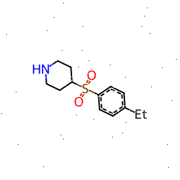 CCc1ccc(S(=O)(=O)C2CCNCC2)cc1